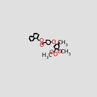 COC(=O)c1cc(OC2CCC(C(=O)OCc3cccc4ccccc34)CC2)c(C)cc1OC